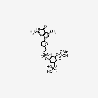 COP(=O)(O)OC1CC(OP(=O)(O)O)CC(OP(=O)(O)OCC2CCC(n3c[n+](C)c4c(=O)[nH]c(N)nc43)O2)C1